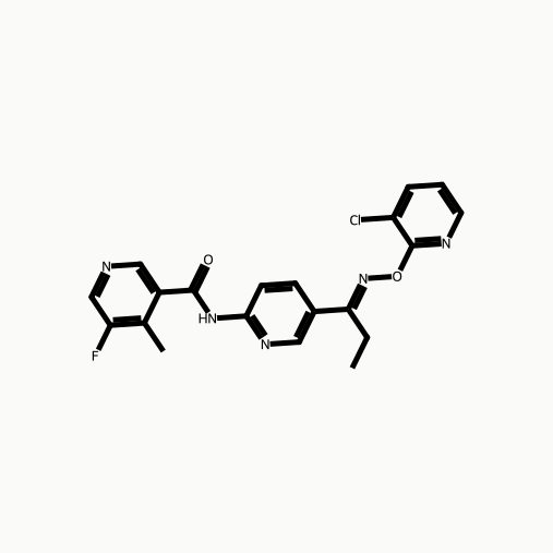 CC/C(=N\Oc1ncccc1Cl)c1ccc(NC(=O)c2cncc(F)c2C)nc1